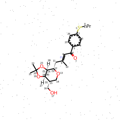 CCCSc1ccc(C(=O)/C=C(\C)C[C@@H]2OC[C@H](CO)[C@H]3OC(C)(C)O[C@H]32)cc1